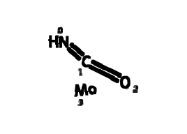 N=C=O.[Mo]